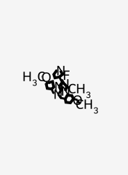 COc1ccc(CN(Cc2ccc(OC)cc2)c2nc(C)nc(-c3cccnc3F)n2)cc1